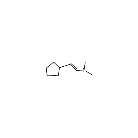 CP(C)/C=C/C1CCCC1